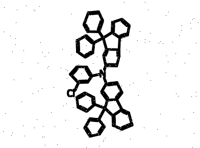 Clc1cccc(N(c2ccc3c(c2)C(c2ccccc2)(c2ccccc2)c2ccccc2-3)c2ccc3c(c2)C(c2ccccc2)(c2ccccc2)c2ccccc2-3)c1